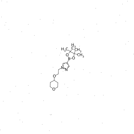 CC1(C)OB(c2cnn(CCOC3CCOCC3)c2)OC1(C)C